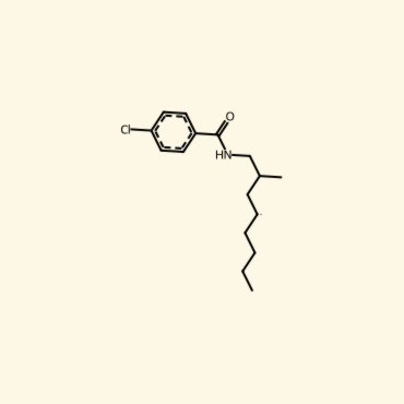 CCCC[CH]CC(C)CNC(=O)c1ccc(Cl)cc1